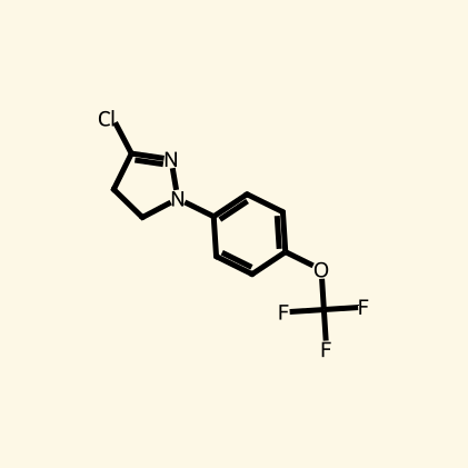 FC(F)(F)Oc1ccc(N2CCC(Cl)=N2)cc1